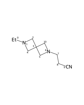 CCN1CC2(C1)CN(CCC#N)C2